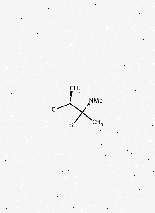 CCC(C)(NC)[C@H](C)Cl